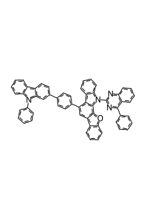 c1ccc(-c2nc(-n3c4ccccc4c4c(-c5ccc(-c6ccc7c8ccccc8n(-c8ccccc8)c7c6)cc5)cc5c6ccccc6oc5c43)nc3ccccc23)cc1